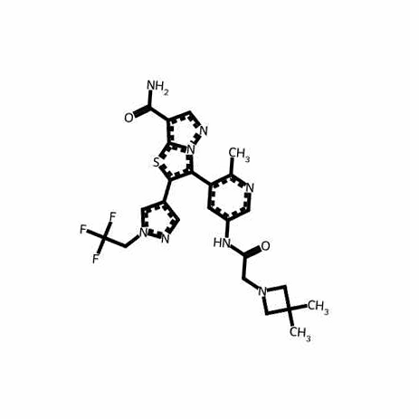 Cc1ncc(NC(=O)CN2CC(C)(C)C2)cc1-c1c(-c2cnn(CC(F)(F)F)c2)sc2c(C(N)=O)cnn12